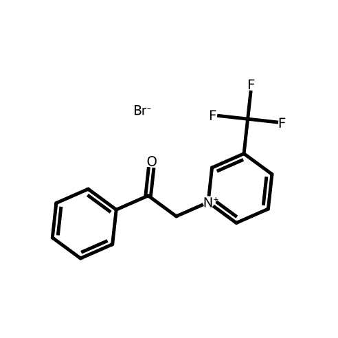 O=C(C[n+]1cccc(C(F)(F)F)c1)c1ccccc1.[Br-]